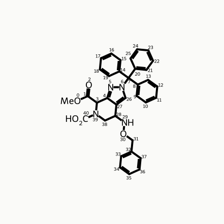 COC(=O)C1c2nn(C(c3ccccc3)(c3ccccc3)c3ccccc3)cc2C(NOCc2ccccc2)CN1C(=O)O